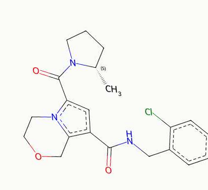 C[C@H]1CCCN1C(=O)c1cc(C(=O)NCc2ccccc2Cl)c2n1CCOC2